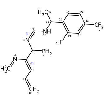 C=C/C=C(\N=C)C(P)/N=C\NC(C)c1ccc(C(F)(F)F)cc1F